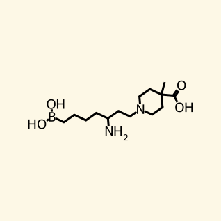 CC1(C(=O)O)CCN(CCC(N)CCCCB(O)O)CC1